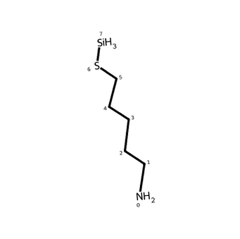 NCCCCCS[SiH3]